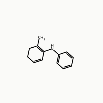 CC1=C(Nc2ccccc2)C=CCC1